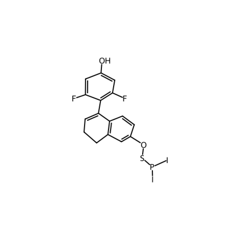 Oc1cc(F)c(C2=CCCc3cc(OSP(I)I)ccc32)c(F)c1